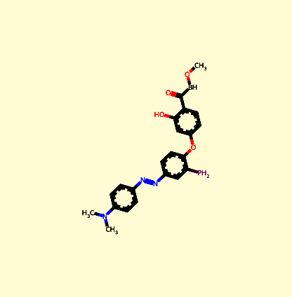 COBC(=O)c1ccc(Oc2ccc(N=Nc3ccc(N(C)C)cc3)cc2P)cc1O